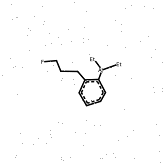 C[CH2][Al]([CH2]C)[c]1ccccc1CCCF